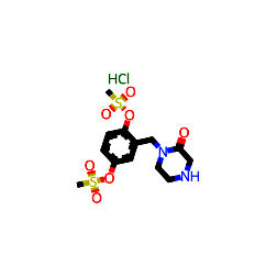 CS(=O)(=O)Oc1ccc(OS(C)(=O)=O)c(CN2CCNCC2=O)c1.Cl